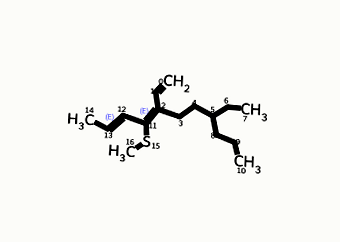 C=C/C(CCC(CC)CCC)=C(\C=C\C)SC